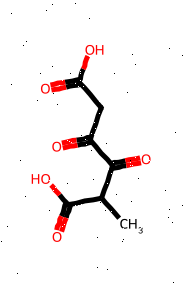 CC(C(=O)O)C(=O)C(=O)CC(=O)O